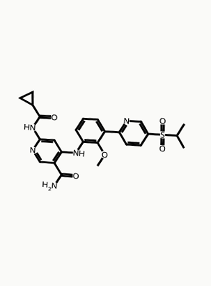 COc1c(Nc2cc(NC(=O)C3CC3)ncc2C(N)=O)cccc1-c1ccc(S(=O)(=O)C(C)C)cn1